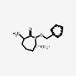 NC1CCC[C@@H](C(=O)O)N(OCc2ccccc2)C1=O